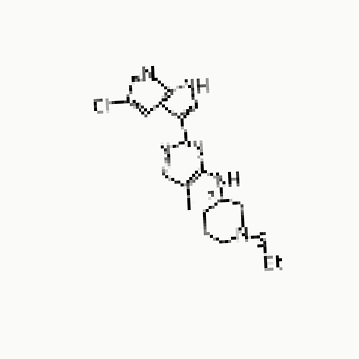 CCSN1CCC[C@@H](Nc2nc(-c3c[nH]c4ncc(Cl)cc34)ncc2F)C1